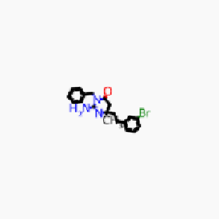 CC1(CCc2cccc(Br)c2)CC(=O)N(Cc2ccccc2)C(N)=N1